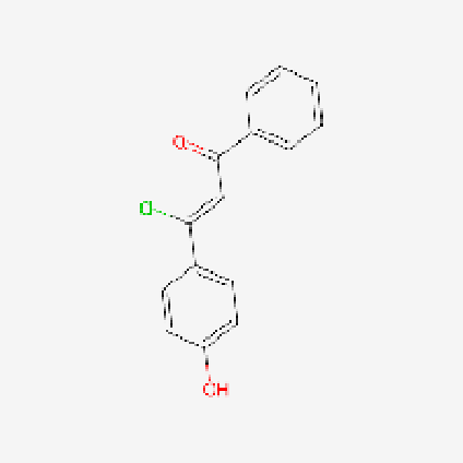 O=C(/C=C(\Cl)c1ccc(O)cc1)c1ccccc1